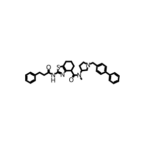 CN(C(=O)C1CCCc2sc(NC(=O)CCc3ccccc3)nc21)C1CCN(Cc2ccc(-c3ccccc3)cc2)C1